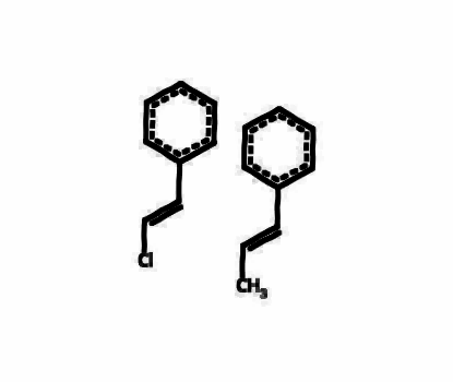 CC=Cc1ccccc1.ClC=Cc1ccccc1